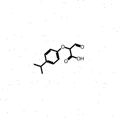 CC(C)c1ccc(OC(C=O)C(=O)O)cc1